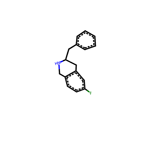 Fc1ccc2c(c1)CC(Cc1ccccc1)NC2